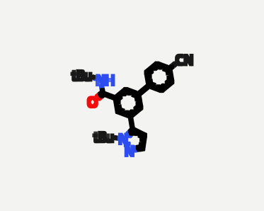 CC(C)(C)NC(=O)c1cc(-c2ccc(C#N)cc2)cc(-c2ccnn2C(C)(C)C)c1